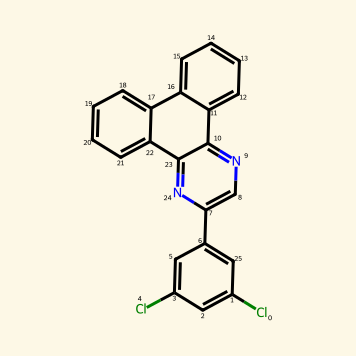 Clc1cc(Cl)cc(-c2cnc3c4ccccc4c4ccccc4c3n2)c1